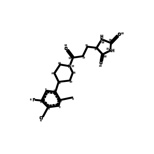 Cc1cc(Cl)c(F)cc1C1CCN(C(=O)CCC2NC(=O)NC2=O)CC1